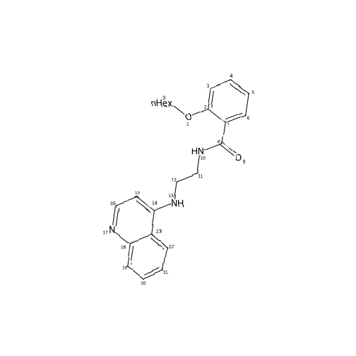 CCCCCCOc1ccccc1C(=O)NCCNc1ccnc2ccccc12